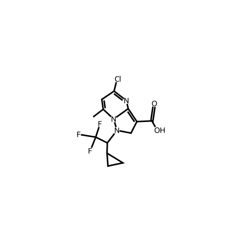 CC1=CC(Cl)=NC2=C(C(=O)O)CN(C(C3CC3)C(F)(F)F)N12